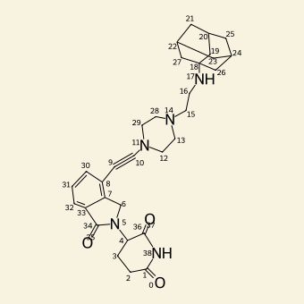 O=C1CCC(N2Cc3c(C#CN4CCN(CCNC56CC7CC(CC(C7)C5)C6)CC4)cccc3C2=O)C(=O)N1